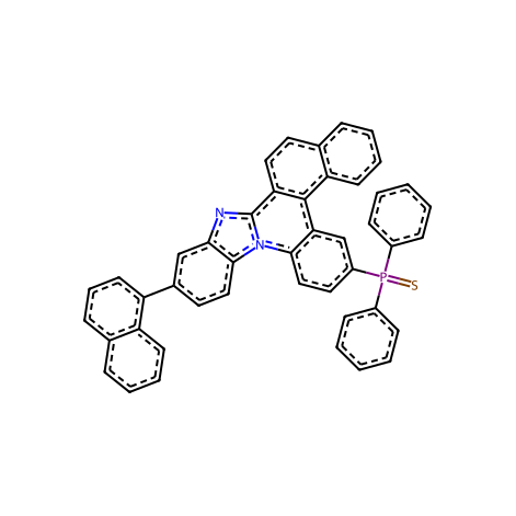 S=P(c1ccccc1)(c1ccccc1)c1ccc2c(c1)c1c3ccccc3ccc1c1nc3cc(-c4cccc5ccccc45)ccc3n21